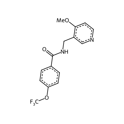 COc1ccncc1CNC(=O)c1ccc(OC(F)(F)F)cc1